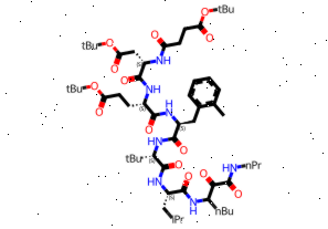 CCCCC(NC(=O)[C@H](CC(C)C)NC(=O)[C@@H](NC(=O)[C@H](Cc1ccccc1C)NC(=O)[C@H](CCC(=O)OC(C)(C)C)NC(=O)[C@H](CC(=O)OC(C)(C)C)NC(=O)CCC(=O)OC(C)(C)C)C(C)(C)C)C(=O)C(=O)NCCC